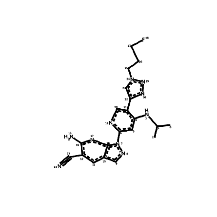 CC(C)Nc1cc(-n2ncc3cc(C#N)c(N)nc32)ncc1-c1cn(CCCF)nn1